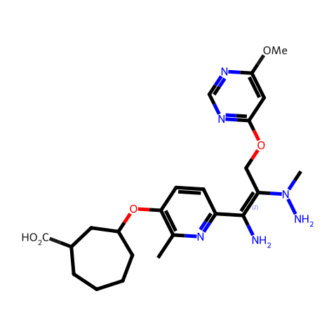 COc1cc(OC/C(=C(/N)c2ccc(OC3CCCCC(C(=O)O)C3)c(C)n2)N(C)N)ncn1